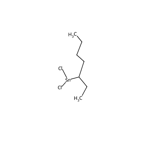 CCCC[CH](CC)[Sn]([Cl])[Cl]